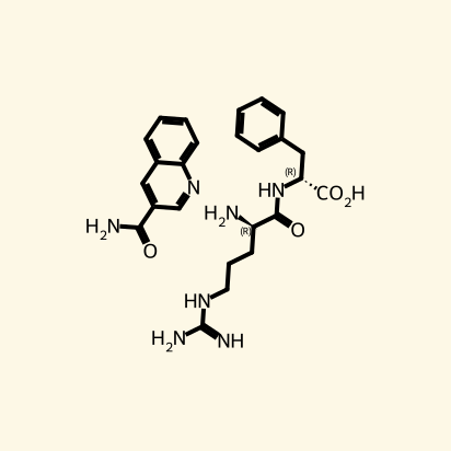 N=C(N)NCCC[C@@H](N)C(=O)N[C@H](Cc1ccccc1)C(=O)O.NC(=O)c1cnc2ccccc2c1